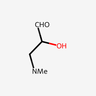 CNCC(O)C=O